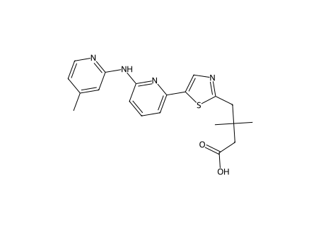 Cc1ccnc(Nc2cccc(-c3cnc(CC(C)(C)CC(=O)O)s3)n2)c1